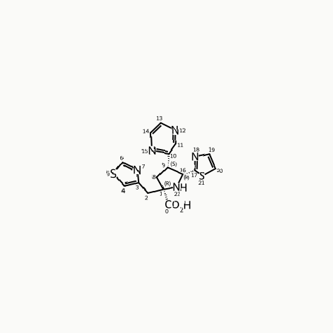 O=C(O)[C@]1(Cc2cscn2)C[C@H](c2cnccn2)[C@H](c2nccs2)N1